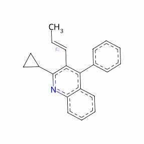 C/C=C/c1c(C2CC2)nc2ccccc2c1-c1ccccc1